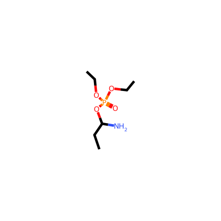 CCOP(=O)(OCC)OC(N)CC